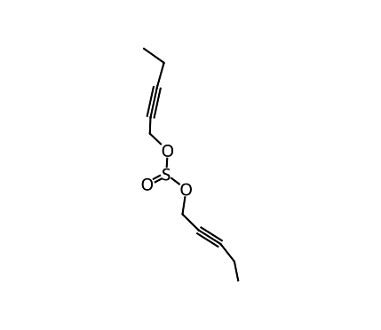 CCC#CCOS(=O)OCC#CCC